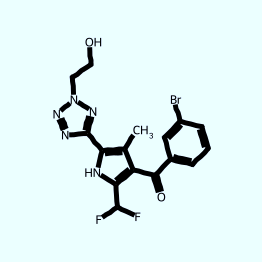 Cc1c(-c2nnn(CCO)n2)[nH]c(C(F)F)c1C(=O)c1cccc(Br)c1